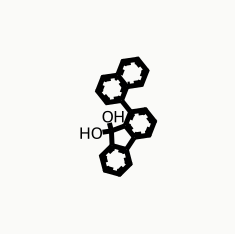 OC1(O)c2ccccc2-c2cccc(-c3cccc4ccccc34)c21